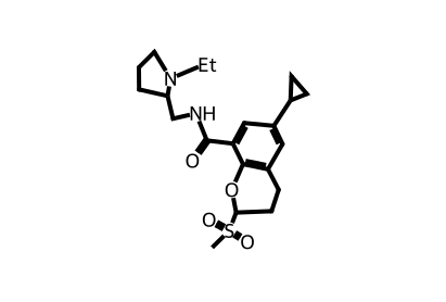 CCN1CCCC1CNC(=O)c1cc(C2CC2)cc2c1OC(S(C)(=O)=O)CC2